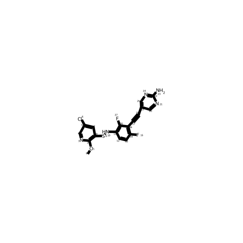 COc1ncc(Cl)cc1SNc1ccc(F)c(C#Cc2cnc(N)nc2)c1F